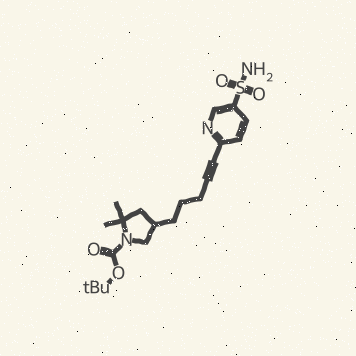 CC(C)(C)OC(=O)N1CC(CCCC#Cc2ccc(S(N)(=O)=O)cn2)CC1(C)C